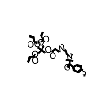 C=CC(=O)OCC(COC(=O)C=C)(COC(=O)C=C)COC(=O)CCN(C)CCN(C)C(C)(C)C(=O)c1ccc(SC)cc1